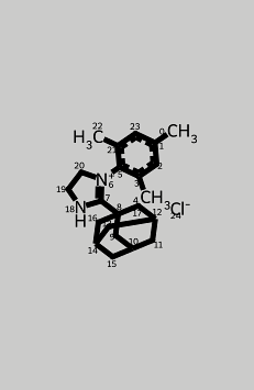 Cc1cc(C)c([N+]2=C(C34CC5CC(CC(C5)C3)C4)NCC2)c(C)c1.[Cl-]